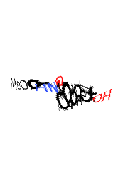 COc1ccc(CNC(=O)[C@]23CC[C@@H](C)[C@H](C)[C@H]2C2=CC[C@@H]4[C@@]5(C)CC[C@H](O)C(C)(C)[C@@H]5CC[C@@]4(C)[C@]2(C)CC3)cc1